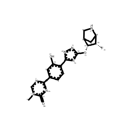 Cn1cnc(-c2ccc(-c3nnc(O[C@@H]4C5CNC(C5)[C@@H]4F)s3)c(O)c2)nc1=O